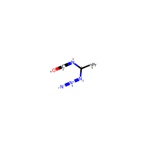 CCCC(N=C=O)N=[N+]=[N-]